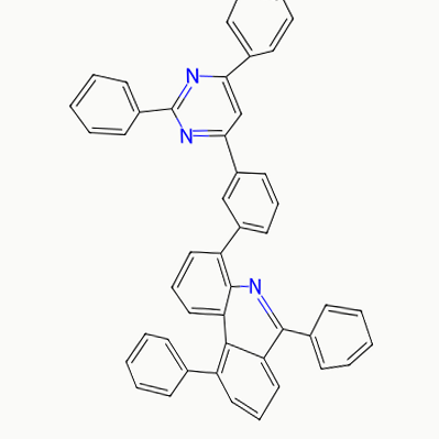 c1ccc(-c2cc(-c3cccc(-c4cccc5c4nc(-c4ccccc4)c4cccc(-c6ccccc6)c45)c3)nc(-c3ccccc3)n2)cc1